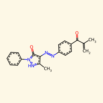 C=C(C)C(=O)c1ccc(/N=N/c2c(C)[nH]n(-c3ccccc3)c2=O)cc1